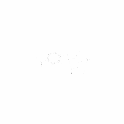 NC(=S)c1ccc(O[C@H]2O[C@H](CO)[C@@H](O)[C@H](O)[C@@H]2O)cc1